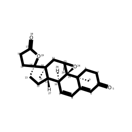 C[C@]12CCC(=O)C=C1C=C[C@H]1[C@@H]3CC[C@@]4(CCC(=O)O4)[C@@]3(C)C[C@H]3O[C@]312